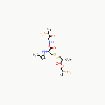 [3H]C(P)COC(=O)[C@H](CSSC[C@@H](NC1CCC1C)C(=O)ONCC(=O)C([3H])P)NC